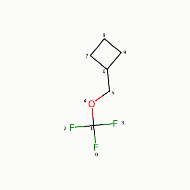 FC(F)(F)OCC1CCC1